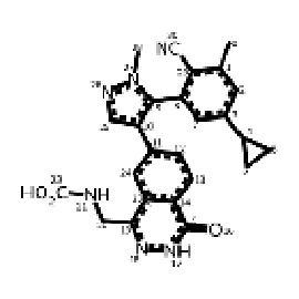 Cc1cc(C2CC2)cc(-c2c(-c3ccc4c(=O)[nH]nc(CNC(=O)O)c4c3)cnn2C)c1C#N